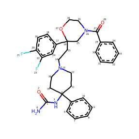 NC(=O)NC1(c2ccccc2)CCN(CCC2(c3ccc(F)c(F)c3)CN(C(=O)c3ccccc3)CCO2)CC1